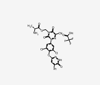 CC(C)c1cc(Oc2c(Cl)cc(-n3nc(C#N)c(=O)n(COC(=O)[C@H](C)N)c3=O)cc2Cl)n[nH]c1=O.O=C(O)C(F)(F)F